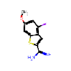 COc1cc(I)c2cc(C(=N)N)sc2c1